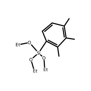 CCO[Si](OCC)(OCC)c1ccc(C)c(C)c1C